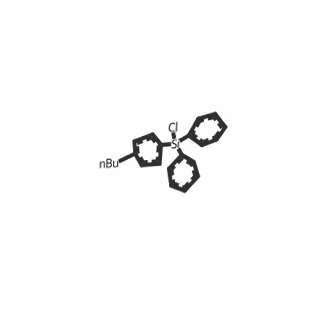 CCCCc1ccc([Si](Cl)(c2ccccc2)c2ccccc2)cc1